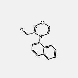 O=CC1=COC=CN1c1cccc2ccccc12